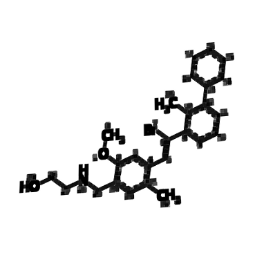 COc1cc(C=C(Br)c2cccc(-c3ccccc3)c2C)c(C)cc1CNCCO